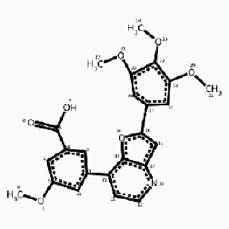 COc1cc(C(=O)O)cc(-c2ccnc3cc(-c4cc(OC)c(OC)c(OC)c4)oc23)c1